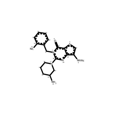 CC(=O)Nc1csc2c(=O)n(Cc3ccccc3C#N)c(N3CCCC(N)C3)nc12